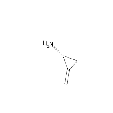 C=C1C[C@H]1N